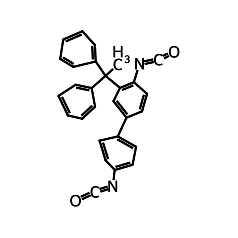 CC(c1ccccc1)(c1ccccc1)c1cc(-c2ccc(N=C=O)cc2)ccc1N=C=O